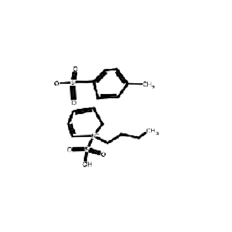 CCCC[N+]1(S(=O)(=O)O)C=CC=CC1.Cc1ccc(S(=O)(=O)[O-])cc1